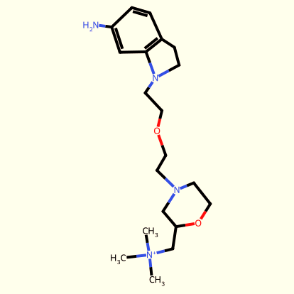 C[N+](C)(C)CC1CN(CCOCCN2CCc3ccc(N)cc32)CCO1